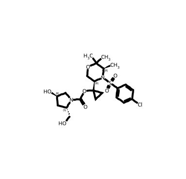 C[C@H]1N(S(=O)(=O)c2ccc(Cl)cc2)[C@@H](C2(OC(=O)N3C[C@H](O)C[C@H]3CO)CC2)COC1(C)C